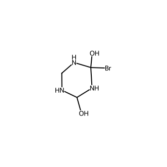 OC1NCNC(O)(Br)N1